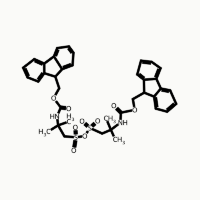 CC(C)(CS(=O)(=O)OS(=O)(=O)CC(C)(C)NC(=O)OCC1c2ccccc2-c2ccccc21)NC(=O)OCC1c2ccccc2-c2ccccc21